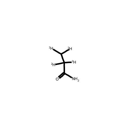 [2H]C([2H])C([2H])([2H])C(N)=O